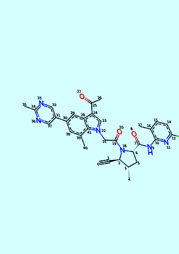 C#C[C@@H]1[C@@H](C)C[C@@H](C(=O)Nc2nc(Br)ccc2C)N1C(=O)Cn1cc(C(C)=O)c2cc(-c3cnc(C)nc3)cc(C)c21